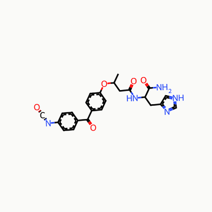 CC(CC(=O)NC(Cc1c[nH]cn1)C(N)=O)Oc1ccc(C(=O)c2ccc(N=C=O)cc2)cc1